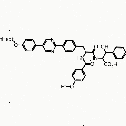 CCCCCCCOc1ccc(-c2cnc(-c3ccc(C[C@H](NC(=O)c4ccc(OCC)cc4)C(=O)NC(C(=O)O)C(O)c4ccccc4)cc3)nc2)cc1